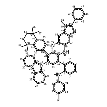 Cc1ccc(Nc2ccccc2-c2cc(-n3c4ccccc4c4ccccc43)c3c4cc5c(cc4n4c3c2Bc2cc3nc(-c6ccccc6)n(C)c3cc2-4)C(C)(C)CCC5(C)C)cc1